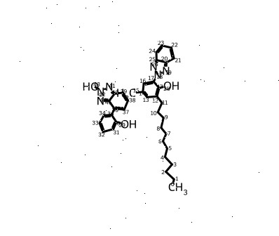 CCCCCCCCCCCCc1cc(C)cc(-n2nc3ccccc3n2)c1O.Oc1ccccc1-c1cccc2nn(O)nc12